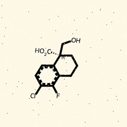 O=C(O)[C@]1(CO)CCCc2c1ccc(Cl)c2F